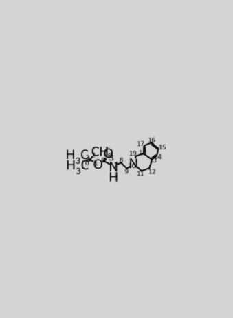 CC(C)(C)OC(=O)NCCN1CCc2ccccc2C1